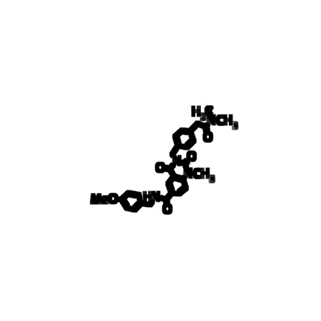 COc1ccc(CNC(=O)c2ccc3c(c2)c(=O)n(Cc2ccc(CC(=O)N(C)C)cc2)c(=O)n3C)cc1